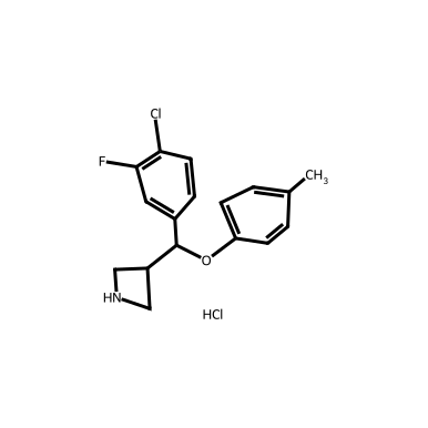 Cc1ccc(OC(c2ccc(Cl)c(F)c2)C2CNC2)cc1.Cl